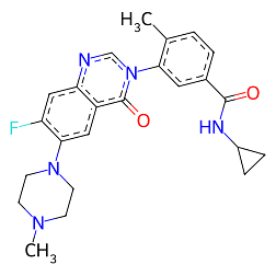 Cc1ccc(C(=O)NC2CC2)cc1-n1cnc2cc(F)c(N3CCN(C)CC3)cc2c1=O